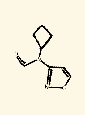 O=CN([C]1CCC1)c1ccon1